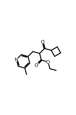 CCOC(=O)C(Cc1cncc(C)c1)C(=O)C1CCC1